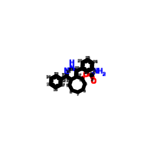 NC(=O)OC1CCCCCC2C(c3ccccc3)=NNC(c3ccccc3)=C12